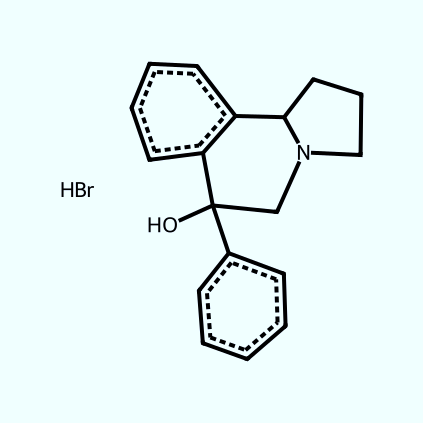 Br.OC1(c2ccccc2)CN2CCCC2c2ccccc21